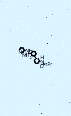 CCCC(=O)NC1=CC=CC(c2cccc(CNc3cccnc3N)c2)C1